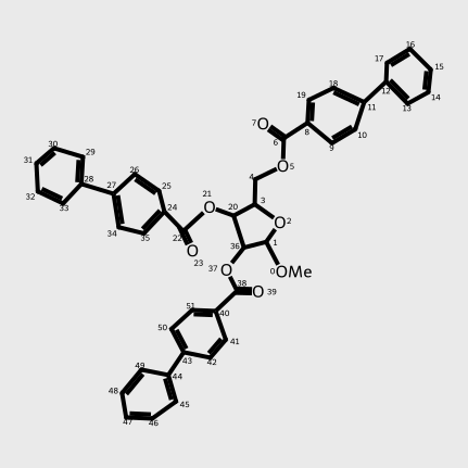 COC1OC(COC(=O)c2ccc(-c3ccccc3)cc2)C(OC(=O)c2ccc(-c3ccccc3)cc2)C1OC(=O)c1ccc(-c2ccccc2)cc1